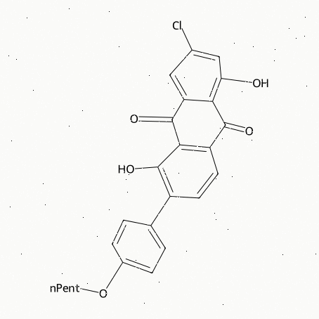 CCCCCOc1ccc(-c2ccc3c(c2O)C(=O)c2cc(Cl)cc(O)c2C3=O)cc1